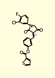 O=C1CN(c2ccc(F)c(Cl)c2)C(=O)/C1=C\c1cccc(OC(=O)c2cccs2)c1